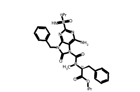 CCCS(=N)(=O)c1nc(N)c2c(n1)n(Cc1ccccc1)c(=O)n2C(=O)N(C)[C@@H](Cc1ccccc1)C(=O)OC(C)C